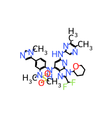 Cc1ncc(Nc2cc(Nc3ccc(-c4cncn4C)cc3N(C)S(C)(=O)=O)c3nc(C(F)F)n(C4CCCCO4)c3n2)nc1C